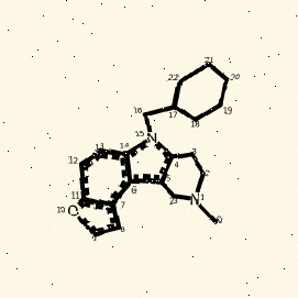 CN1CCc2c(c3c4ccoc4ccc3n2CC2CCCCC2)C1